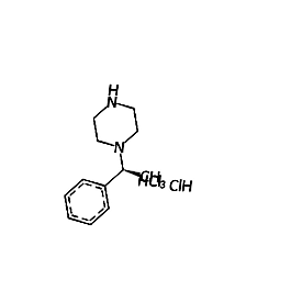 C[C@@H](c1ccccc1)N1CCNCC1.Cl.Cl